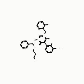 COc1cccc(-c2c(C)n(Cc3c(F)cccc3F)c(=O)n(C[C@H](NCCCC(C)=O)c3ccccc3)c2=O)c1F